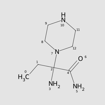 CCC(N)(C(N)=O)N1CCNCC1